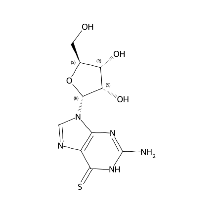 Nc1nc2c(ncn2[C@@H]2O[C@@H](CO)[C@H](O)[C@@H]2O)c(=S)[nH]1